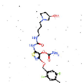 Cc1cc(F)c(COc2nsc(NC(=O)NCCCCN3CCC(O)C3)c2OC(N)=O)cc1F